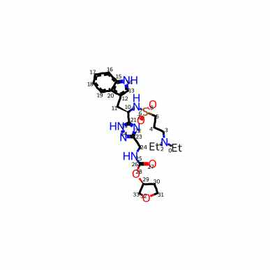 CCN(CC)CCCS(=O)(=O)N[C@H](Cc1c[nH]c2ccccc12)c1nc(CNC(=O)O[C@H]2CCOC2)n[nH]1